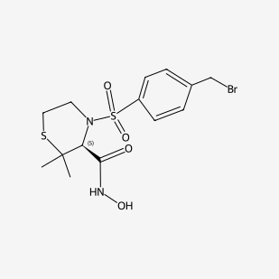 CC1(C)SCCN(S(=O)(=O)c2ccc(CBr)cc2)[C@H]1C(=O)NO